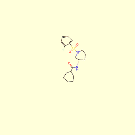 O=C(N[C@H]1CCCN(S(=O)(=O)c2ccccc2F)C1)C1CCCCC1